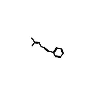 CC(C)=CCC=Cc1ccccc1